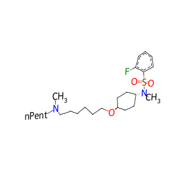 CCCCCN(C)CCCCCCO[C@H]1CC[C@H](N(C)S(=O)(=O)c2ccccc2F)CC1